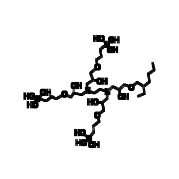 CCCCC(CC)COCC(O)CN(CCN(CC(O)COCCC[Si](O)(O)O)CC(O)COCCC[Si](O)(O)O)CC(O)COCCC[Si](O)(O)O